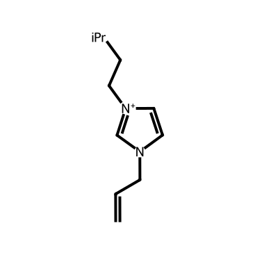 C=CCn1cc[n+](CCC(C)C)c1